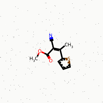 COC(=O)C(C#N)=C(C)c1cccs1